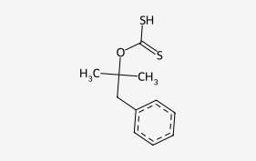 CC(C)(Cc1ccccc1)OC(=S)S